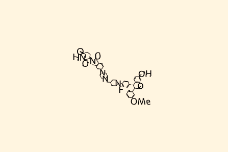 COc1cccc(C2COc3cc(O)ccc3C2c2ccc(N3CCC(CN4CCN(c5ccc6c(c5)CN(C5CCC(=O)NC5=O)C6=O)CC4)CC3)c(F)c2)c1